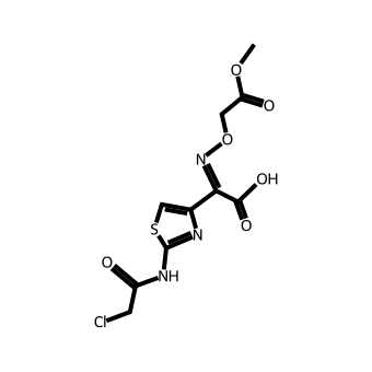 COC(=O)CON=C(C(=O)O)c1csc(NC(=O)CCl)n1